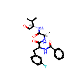 CC(C)[C@@H](C=O)NC(=O)[C@H](C)NC(=O)C(Cc1cccc(F)c1)NC(=O)c1ccccc1